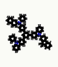 CC1(C)c2ccccc2-c2ccc(-n3c4ccccc4c4cc(-c5cc(-c6ccc(N(c7ccccc7)c7ccc8ccccc8c7)cc6)cc(-c6ccc7c8ccccc8n(-c8ccccc8)c7c6)c5)ccc43)cc21